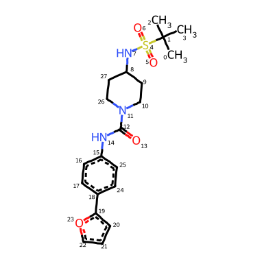 CC(C)(C)S(=O)(=O)NC1CCN(C(=O)Nc2ccc(-c3ccco3)cc2)CC1